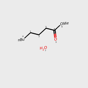 CCCCCCCC(=O)OC.O